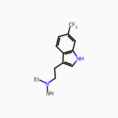 CCCN(CC)CCc1c[nH]c2cc(C(F)(F)F)ccc12